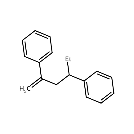 C=C(CC(CC)c1ccccc1)c1ccccc1